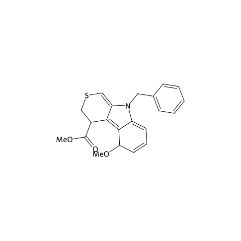 COC(=O)C1CSC=c2c1c1c(n2Cc2ccccc2)=CC=CC1OC